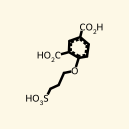 O=C(O)c1ccc(OCCCS(=O)(=O)O)c(C(=O)O)c1